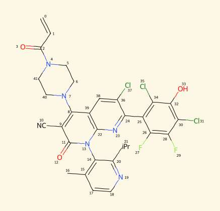 C=CC(=O)N1CCN(c2c(C#N)c(=O)n(-c3c(C)ccnc3C(C)C)c3nc(-c4c(F)c(F)c(Cl)c(O)c4Cl)c(Cl)cc23)CC1